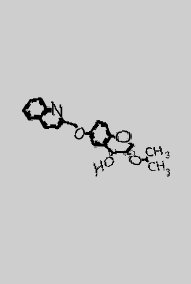 CC(C)O[C@H]1COc2ccc(OCc3ccc4ccccc4n3)cc2[C@@H]1O